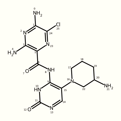 Nc1nc(N)c(C(=O)Nc2[nH]c(=O)ncc2N2CCCC(N)C2)nc1Cl